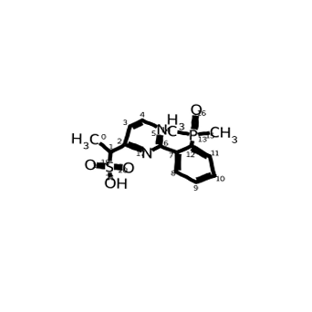 CC(c1ccnc(-c2ccccc2P(C)(C)=O)n1)S(=O)(=O)O